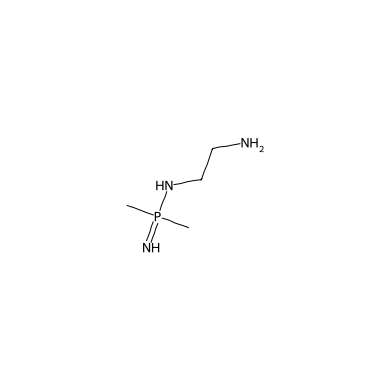 CP(C)(=N)NCCN